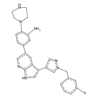 Nc1cc(-c2cnc3[nH]cc(-c4cnn(Cc5cccc(F)c5)c4)c3c2)ccc1N1CCNCC1